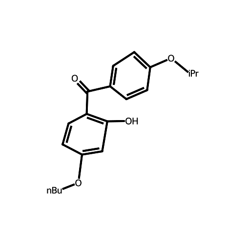 CCCCOc1ccc(C(=O)c2ccc(OC(C)C)cc2)c(O)c1